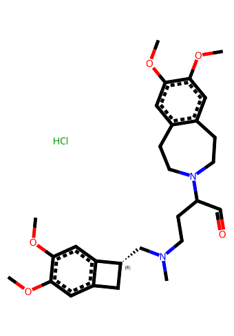 COc1cc2c(cc1OC)CCN(C(C=O)CCN(C)C[C@@H]1Cc3cc(OC)c(OC)cc31)CC2.Cl